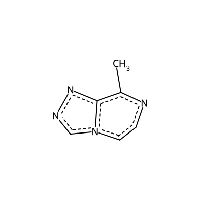 Cc1nccn2cnnc12